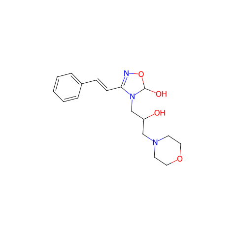 OC(CN1CCOCC1)CN1C(C=Cc2ccccc2)=NOC1O